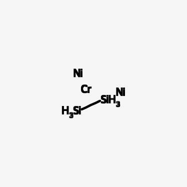 [Cr].[Ni].[Ni].[SiH3][SiH3]